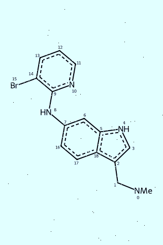 CNCc1c[nH]c2cc(Nc3ncccc3Br)ccc12